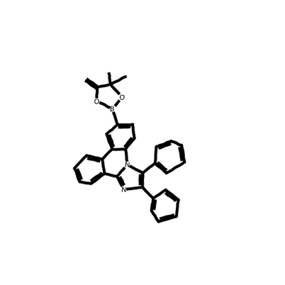 C=C1OB(c2ccc3c(c2)c2ccccc2c2nc(-c4ccccc4)c(-c4ccccc4)n32)OC1(C)C